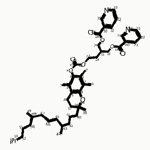 Cc1c(C)c2c(c(C)c1OC(=O)OCCC(COC(=O)c1cccnc1)COC(=O)c1cccnc1)CCC(C)(CCCC(C)CCCC(C)CCCC(C)C)O2